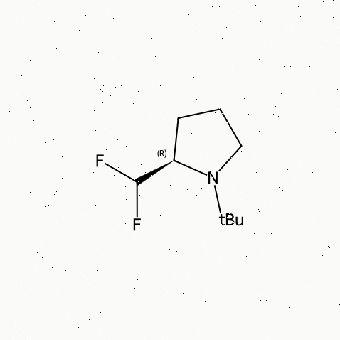 CC(C)(C)N1CCC[C@@H]1C(F)F